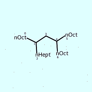 CCCCCCCCC(CCCCCCC)CC(CCCCCCCC)CCCCCCCC